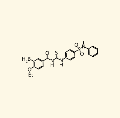 Bc1cc(C(=O)NC(=S)Nc2ccc(S(=O)(=O)N(C)c3ccccc3)cc2)ccc1OCC